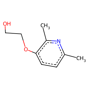 Cc1ccc(OCCO)c(C)n1